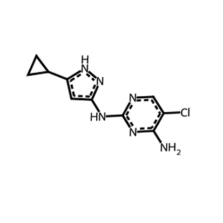 Nc1nc(Nc2cc(C3CC3)[nH]n2)ncc1Cl